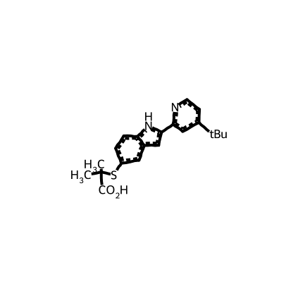 CC(C)(Sc1ccc2[nH]c(-c3cc(C(C)(C)C)ccn3)cc2c1)C(=O)O